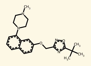 CN1CCN(c2cccc3ccc(OCc4noc(C(C)(C)C)n4)cc23)CC1